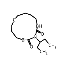 CCC(CC)N1C(=O)BCCCCCCCCBC1=O